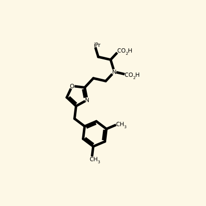 Cc1cc(C)cc(Cc2coc(CCN(C(=O)O)C(CC(C)C)C(=O)O)n2)c1